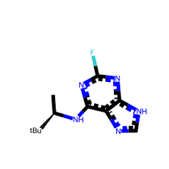 C[C@@H](Nc1nc(F)nc2[nH]cnc12)C(C)(C)C